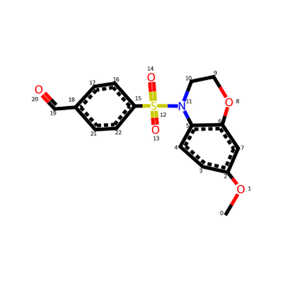 COc1ccc2c(c1)OCCN2S(=O)(=O)c1ccc(C=O)cc1